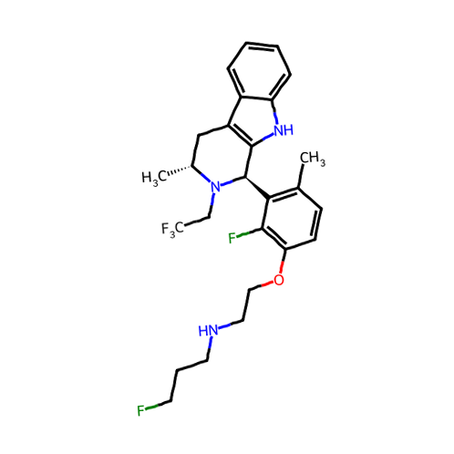 Cc1ccc(OCCNCCCF)c(F)c1[C@@H]1c2[nH]c3ccccc3c2C[C@@H](C)N1CC(F)(F)F